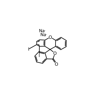 O=C1OC2(c3ccccc3Oc3ccc(I)c(I)c32)c2ccccc21.[Na].[Na]